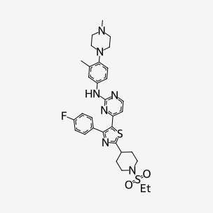 CCS(=O)(=O)N1CCC(c2nc(-c3ccc(F)cc3)c(-c3ccnc(Nc4ccc(N5CCN(C)CC5)c(C)c4)n3)s2)CC1